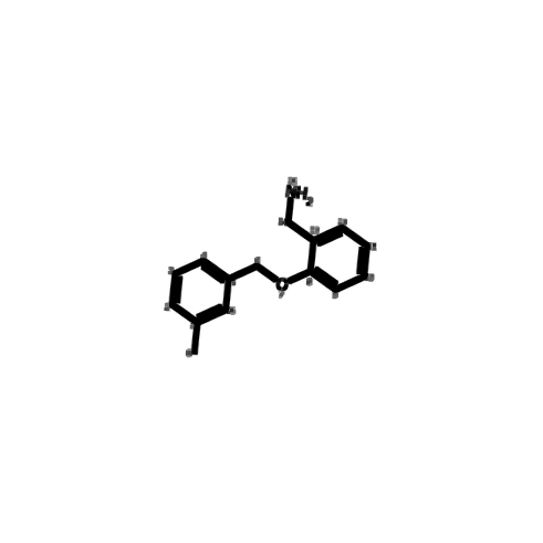 Cc1cccc(COc2ccccc2CN)c1